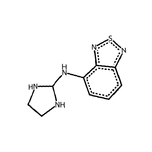 c1cc(NC2NCCN2)c2nsnc2c1